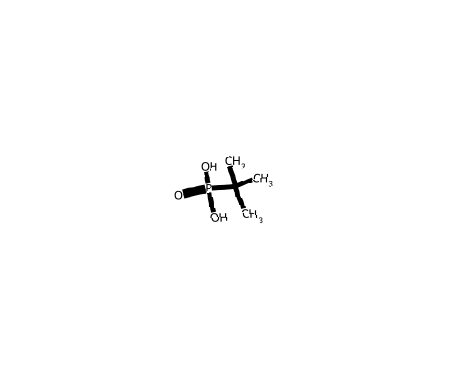 CC(C)(C)P(=O)(O)O